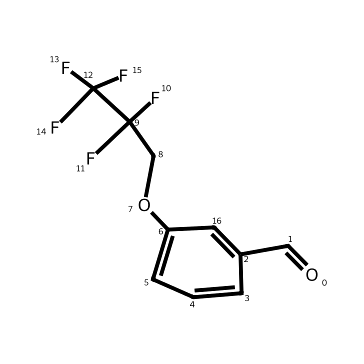 O=Cc1cccc(OCC(F)(F)C(F)(F)F)c1